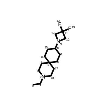 CCN1CCC2(CCC(N3CC(F)(F)C3)CC2)CC1